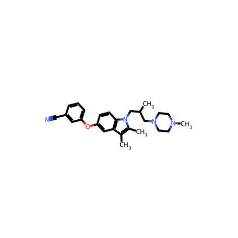 Cc1c(C)n(CC(C)CN2CCN(C)CC2)c2ccc(Oc3cccc(C#N)c3)cc12